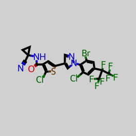 N#CC1(NC(=O)c2cc(-c3cnn(-c4c(Cl)cc(C(F)(C(F)(F)F)C(F)(F)F)cc4Br)c3)sc2Cl)CC1